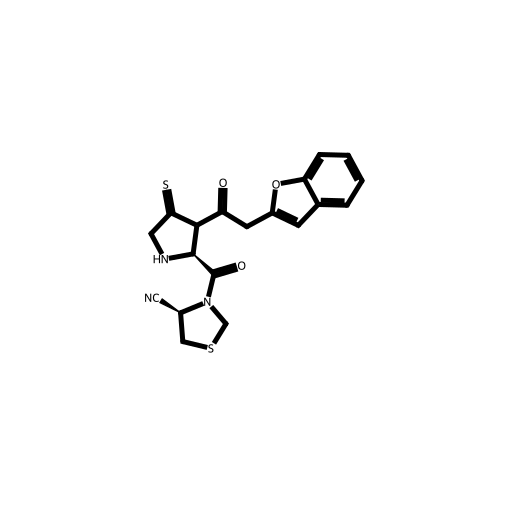 N#C[C@@H]1CSCN1C(=O)[C@H]1NCC(=S)C1C(=O)Cc1cc2ccccc2o1